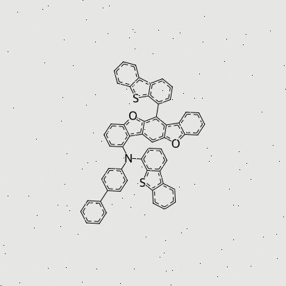 c1ccc(-c2ccc(N(c3cccc4c3sc3ccccc34)c3cccc4oc5c(-c6cccc7c6sc6ccccc67)c6c(cc5c34)oc3ccccc36)cc2)cc1